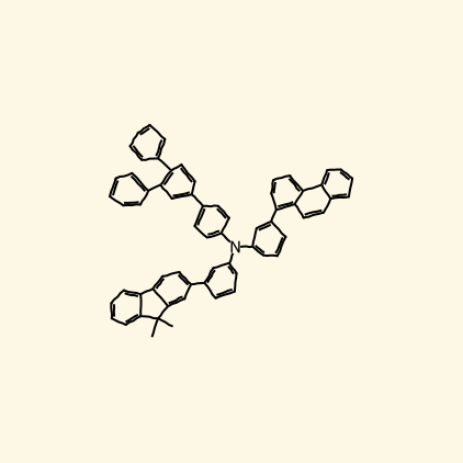 CC1(C)c2ccccc2-c2ccc(-c3cccc(N(c4ccc(-c5ccc(-c6ccccc6)c(-c6ccccc6)c5)cc4)c4cccc(-c5cccc6c5ccc5ccccc56)c4)c3)cc21